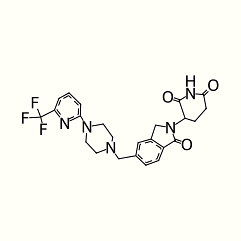 O=C1CCC(N2Cc3cc(CN4CCN(c5cccc(C(F)(F)F)n5)CC4)ccc3C2=O)C(=O)N1